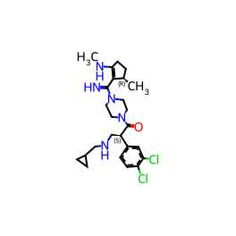 CNC1=C(C(=N)N2CCN(C(=O)[C@H](CNCC3CC3)c3ccc(Cl)c(Cl)c3)CC2)[C@H](C)CC1